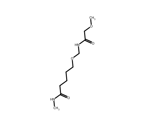 CNC(=O)CCCCOCNC(=O)COC